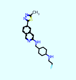 Cc1nnc(-c2ccc3cnc(NCC4CCC(NCCF)CC4)cc3c2)s1